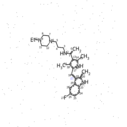 C=C(NCCCN1CCN(CC)CC1)c1c(C)[nH]c(/C=c2\c(=C)[nH]c3ccc(F)cc23)c1C